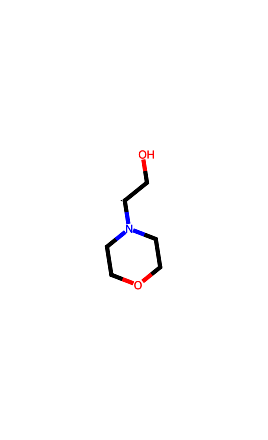 OC[CH]N1CCOCC1